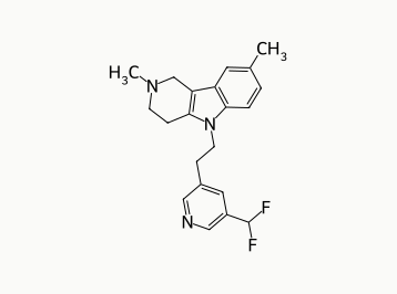 Cc1ccc2c(c1)c1c(n2CCc2cncc(C(F)F)c2)CCN(C)C1